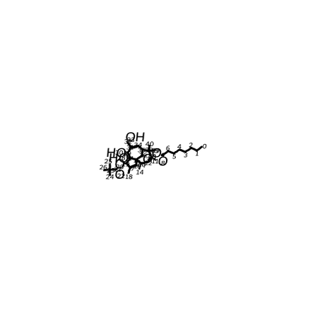 CCCCCCCC(=O)O[C@]1(C)C[C@@H](C)C23C=C(C)C(OC(=O)C(C)(C)C)C2(O)C(O)C(CO)=CC(C3=O)C1(C)C